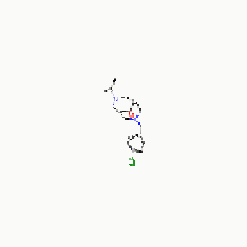 CC(C)N1CC2CN(Cc3ccc(Cl)cc3)CC(C1)C2=O